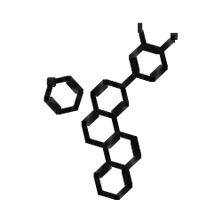 C1=COC=CC1.Fc1ccc(C2C=CC3=CCc4c(ccc5c4=CCCC=5)C3=C2)cc1I